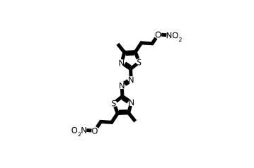 Cc1nc(/N=N/c2nc(C)c(CCO[N+](=O)[O-])s2)sc1CCO[N+](=O)[O-]